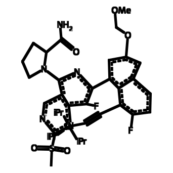 COCOc1cc(-c2nc(N3CCCC3C(N)=O)c3cnc(S(C)(=O)=O)nc3c2F)c2c(C#C[Si](C(C)C)(C(C)C)C(C)C)c(F)ccc2c1